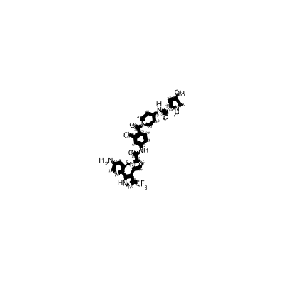 Cn1c(-c2c(C(F)(F)F)n[nH]c2-c2ccc(N)cn2)cnc1C(=O)Nc1ccc(C(=O)N2CCC(NC(=O)[C@@H]3C[C@@H](O)CN3)CC2)c(Cl)c1